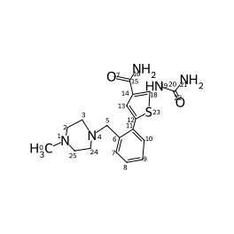 CN1CCN(Cc2ccccc2-c2cc(C(N)=O)c(NC(N)=O)s2)CC1